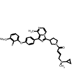 COc1cccc(Oc2ccc(-c3nc(C4CCN(C(=O)/C=C/CN(C)C5CC5)C4)n4ccnc(C)c34)cc2)c1F